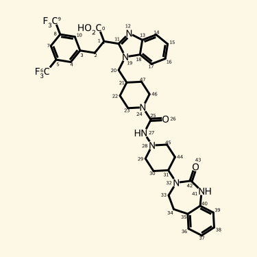 O=C(O)[C](Cc1cc(C(F)(F)F)cc(C(F)(F)F)c1)c1nc2ccccc2n1CC1CCN(C(=O)NN2CCC(N3CCc4ccccc4NC3=O)CC2)CC1